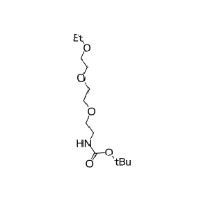 [CH2]COCCOCCOCCNC(=O)OC(C)(C)C